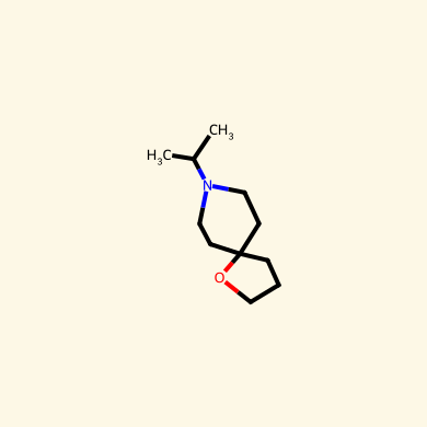 CC(C)N1CCC2(CCCO2)CC1